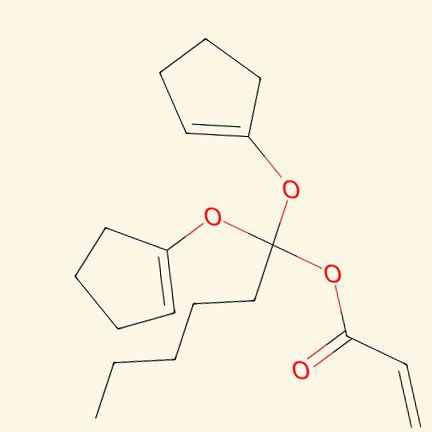 C=CC(=O)OC(CCCCC)(OC1=CCCC1)OC1=CCCC1